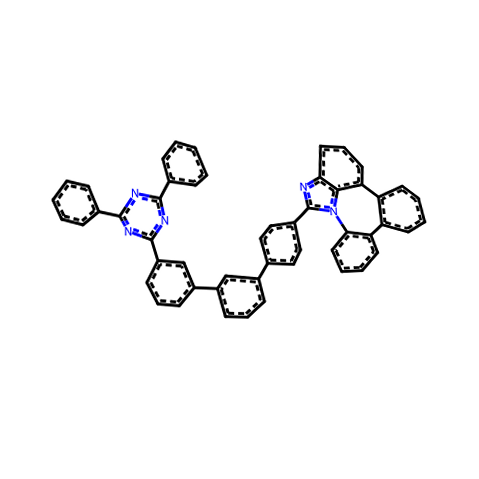 c1ccc(-c2nc(-c3ccccc3)nc(-c3cccc(-c4cccc(-c5ccc(-c6nc7cccc8c7n6-c6ccccc6-c6ccccc6-8)cc5)c4)c3)n2)cc1